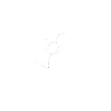 CC(C)c1ccc(C2CC2(F)F)cc1Cl